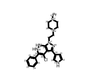 CC(C)N1CCN(CCn2nc(-c3cc[nH]c3)c3c2NNC(c2ccccc2)=C3Cl)CC1